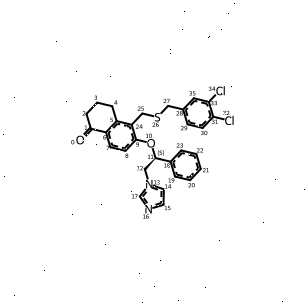 O=C1CCCc2c1ccc(O[C@H](Cn1ccnc1)c1ccccc1)c2CSCc1ccc(Cl)c(Cl)c1